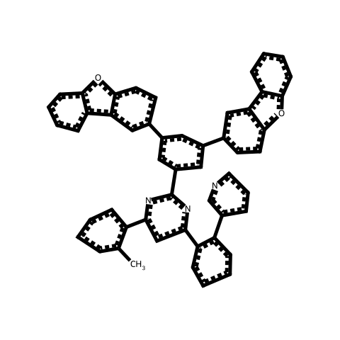 Cc1ccccc1-c1cc(-c2ccccc2-c2cccnc2)nc(-c2cc(-c3ccc4oc5ccccc5c4c3)cc(-c3ccc4oc5ccccc5c4c3)c2)n1